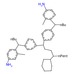 CCCCCC(CCC(c1ccc(C(CCCC)c2ccc(N)cc2C)cc1)c1ccc(C(CCCC)c2ccc(N)cc2C)cc1)C1CCCCC1